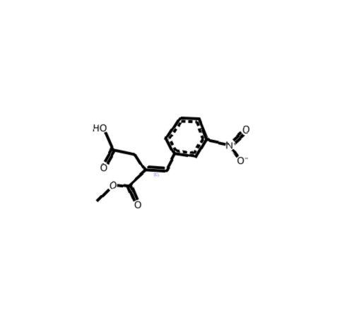 COC(=O)/C(=C/c1cccc([N+](=O)[O-])c1)CC(=O)O